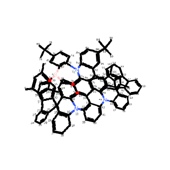 Cc1cc(C)c(B2Cc3cc(-c4c(N5C6=C(C=CCC6)C6(C7=C(CCC=C7)c7ccccc76)c6ccccc65)cccc4N4C5=C(C=CCC5)C5(C6=C(CCC=C6)C6C=CC=CC65)c5ccccc54)cc4c3N(c3ccc(C(C)(C)C)cc32)c2ccc(C(C)(C)C)cc2C4c2c(C)cc(C)cc2C)c(C)c1